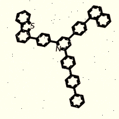 c1ccc(-c2ccc(-c3ccc(-c4cc(-c5ccc(-c6cccc7ccccc67)cc5)cc(-c5ccc(-c6cccc7c6sc6ccccc67)cc5)n4)cc3)cc2)cc1